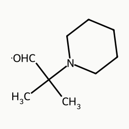 CC(C)([C]=O)N1CCCCC1